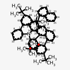 CC(C)(C)c1cc(-c2ccccc2N(c2ccc(-c3cccc4ccccc34)cc2)c2ccccc2-c2cccc3cccc(-c4cc(C(C)(C)C)cc(C(C)(C)C)c4)c23)cc(C(C)(C)C)c1